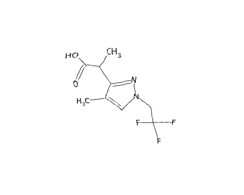 Cc1cn(CC(F)(F)F)nc1C(C)C(=O)O